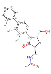 CC(=O)NC[C@@H]1C[C@@H](CO)N(c2ccc(-c3ccccc3C)c(F)c2F)C1=O